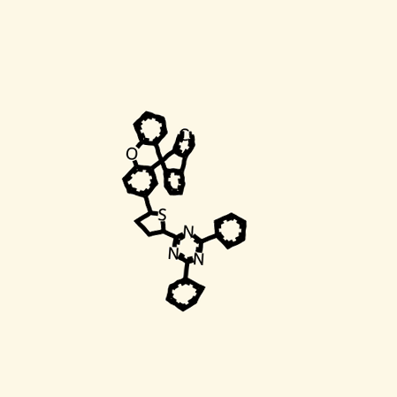 c1ccc(-c2nc(-c3ccccc3)nc(C3CCC(c4ccc5c(c4)C4(c6ccccc6O5)c5ccccc5-c5ccccc54)S3)n2)cc1